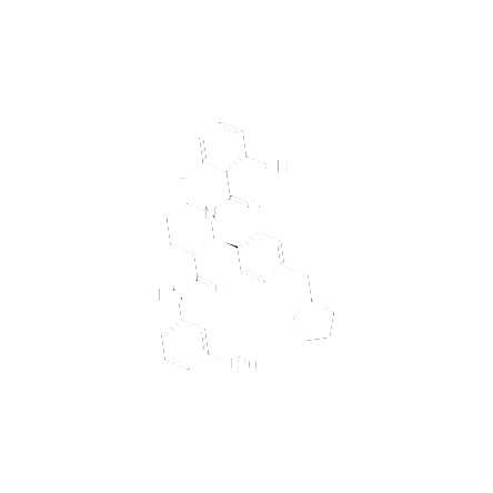 Cc1cccc(F)c1C(=O)N1CCCC(C(=O)Nc2cccc(C(C)(C)C)c2)[C@@H]1c1ccc(CC2CCCC2)cc1